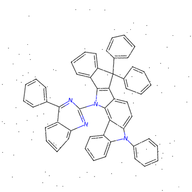 c1ccc(-c2nc(-n3c4c(c5ccc6c(c7ccccc7n6-c6ccccc6)c53)C(c3ccccc3)(c3ccccc3)c3ccccc3-4)nc3ccccc23)cc1